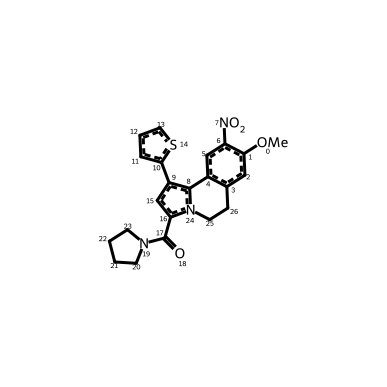 COc1cc2c(cc1[N+](=O)[O-])-c1c(-c3cccs3)cc(C(=O)N3CCCC3)n1CC2